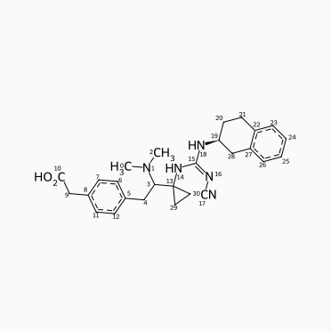 CN(C)C(Cc1ccc(CC(=O)O)cc1)C1(NC(=NC#N)N[C@H]2CCc3ccccc3C2)CC1